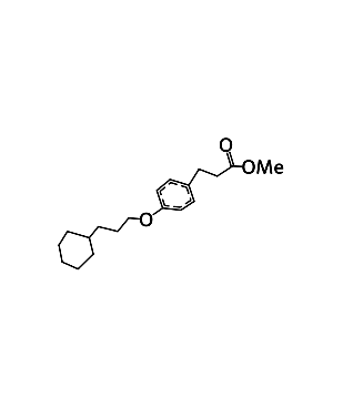 COC(=O)CCc1ccc(OCCCC2CCCCC2)cc1